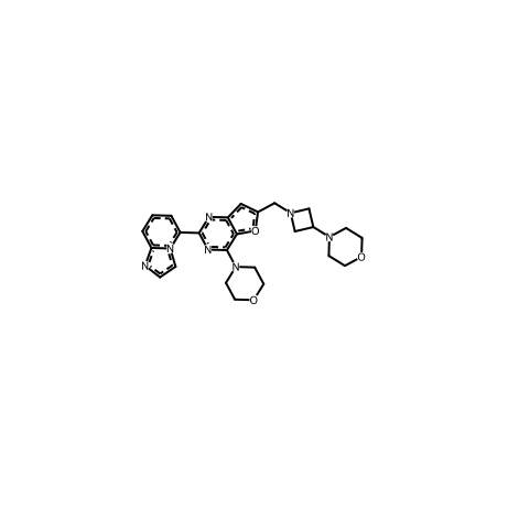 c1cc(-c2nc(N3CCOCC3)c3oc(CN4CC(N5CCOCC5)C4)cc3n2)n2ccnc2c1